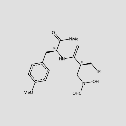 CNC(=O)[C@H](Cc1ccc(OC)cc1)NC(=O)[C@@H](CC(C)C)CN(O)C=O